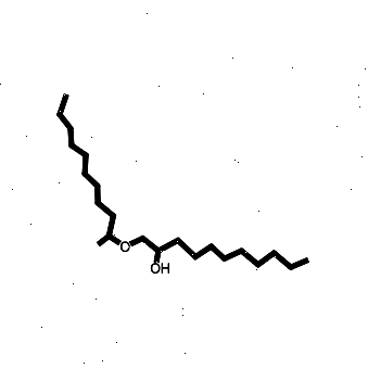 CCCCCCCCCC(O)COC(C)CCCCCCCCC